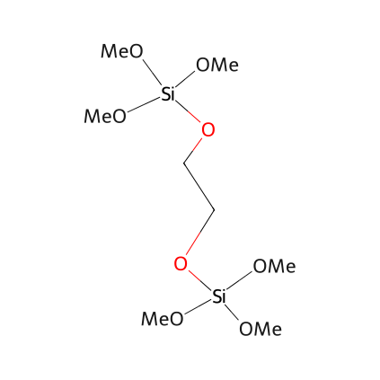 CO[Si](OC)(OC)OCCO[Si](OC)(OC)OC